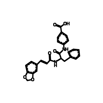 O=C(C=Cc1ccc2c(c1)OCO2)NC(Cc1ccccc1)C(=O)Nc1ccc(C(=O)O)cc1